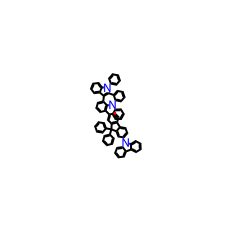 c1ccc(N2c3ccccc3-c3c(c4ccccc4n3-c3ccccc3)-c3cccc(-c4ccc5c(c4)C(c4ccccc4)(c4ccccc4)c4cc(-n6c7ccccc7c7ccccc76)ccc4-5)c32)cc1